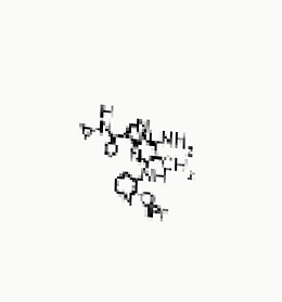 Cc1c(Nc2cccnc2OC(C)C)nc2c(C(=O)NC3CC3)cnn2c1N